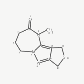 CN1C(=O)CCCn2nc3c(c21)CSC3